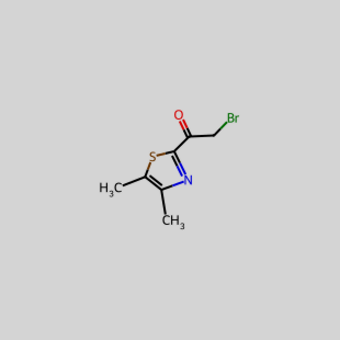 Cc1nc(C(=O)CBr)sc1C